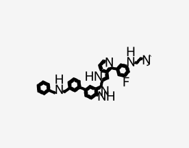 CN(C)CCNc1cc(F)cc(-c2nccc3[nH]c(-c4n[nH]c5ccc(-c6cccc(CNCc7ccccc7)c6)cc45)cc23)c1